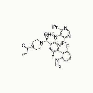 C=CC(=O)N1CCN(/C(=N/C)c2cc(F)c(-c3c(N)cccc3F)nc2N(C=O)c2c(C(C)C)ncnc2C(C)C)CC1